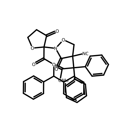 [C-]#[N+]C1(C(C(=O)OC)(c2ccccc2)c2ccccc2)CON(C2(C(=O)OC(c3ccccc3)c3ccccc3)OCCC2=O)C1=O